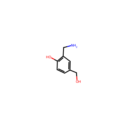 NCc1cc(CO)ccc1O